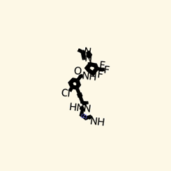 Cc1cn(-c2cc(NC(=O)c3ccc(Cl)c(C#Cc4cnc(/C=C\C=N)[nH]4)c3)cc(C(F)(F)F)c2)cn1